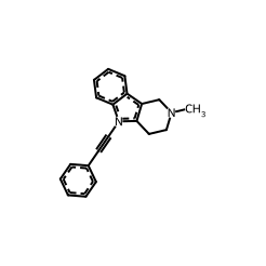 CN1CCc2c(c3ccccc3n2C#Cc2ccccc2)C1